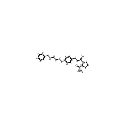 NC(=O)[C@@H]1CCCN1C(=O)CCc1ccc(CCCCCCc2ccccc2)cc1